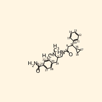 CN(C)C(CNC(=O)CC(c1ccccc1)C1CC1)Cc1ccc(C(N)=O)cc1